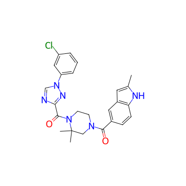 Cc1cc2cc(C(=O)N3CCN(C(=O)c4ncn(-c5cccc(Cl)c5)n4)C(C)(C)C3)ccc2[nH]1